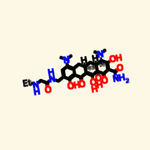 CCNCC(=O)NCc1cc(N(C)C)c2c(c1O)C(=O)C1=C(O)[C@]3(O)C(=O)C(C(N)=O)=C(O)[C@@H](N(C)C)[C@@H]3C[C@@H]1C2